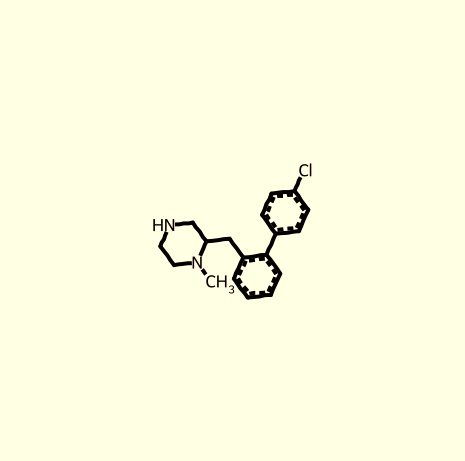 CN1CCNCC1Cc1ccccc1-c1ccc(Cl)cc1